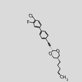 C=CCCC[C@H]1CO[C@H](C#Cc2ccc(-c3ccc(Cl)c(F)c3)cc2)OC1